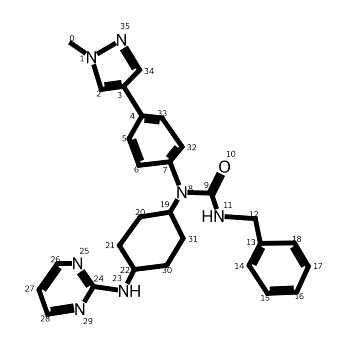 Cn1cc(-c2ccc(N(C(=O)NCc3ccccc3)C3CCC(Nc4ncccn4)CC3)cc2)cn1